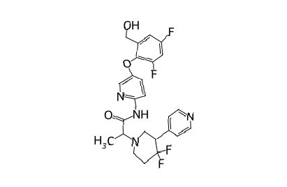 CC(C(=O)Nc1ccc(Oc2c(F)cc(F)cc2CO)cn1)N1CCC(F)(F)C(c2ccncc2)C1